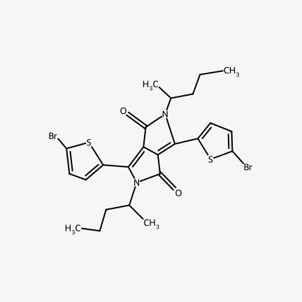 CCCC(C)N1C(=O)C2=C(c3ccc(Br)s3)N(C(C)CCC)C(=O)C2=C1c1ccc(Br)s1